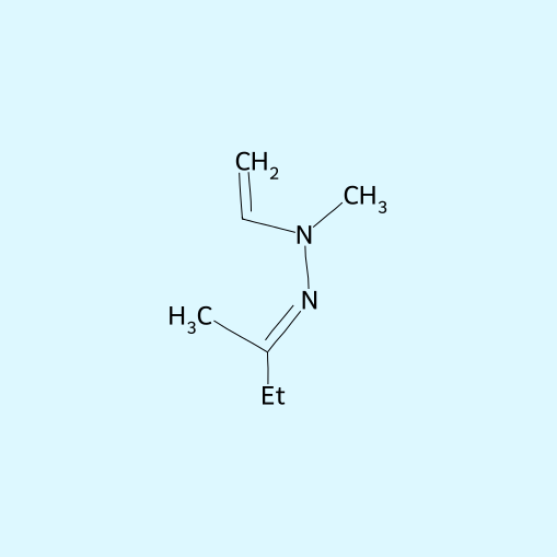 C=CN(C)/N=C(\C)CC